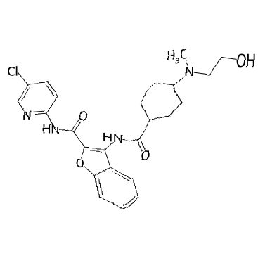 CN(CCO)C1CCC(C(=O)Nc2c(C(=O)Nc3ccc(Cl)cn3)oc3ccccc23)CC1